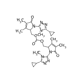 CC1=C(C)C(COC(=O)OCC2C(C)=C(C)C(=O)N2c2nnc(C3CC3)n2C)N(c2nnc(C3CC3)n2C)C1=O